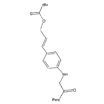 CCCC(C)C(=O)CNc1ccc(/C=C/COC(=O)C(C)(C)C)cc1